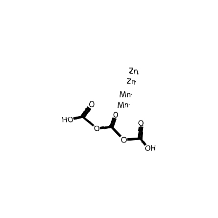 O=C(O)OC(=O)OC(=O)O.[Mn].[Mn].[Zn].[Zn]